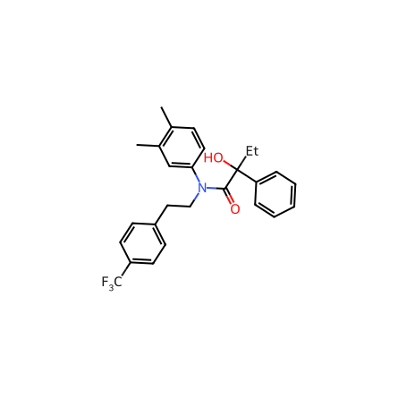 CCC(O)(C(=O)N(CCc1ccc(C(F)(F)F)cc1)c1ccc(C)c(C)c1)c1ccccc1